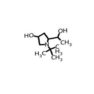 CC(O)C1CC(O)CN1C(C)(C)C